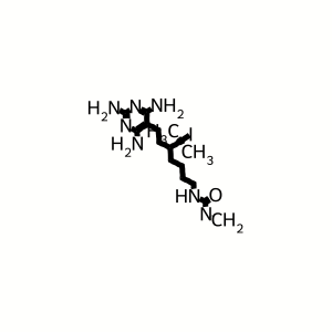 C=NC(=O)NCCCCC(CCc1c(N)nc(N)nc1N)C(C)(C)I